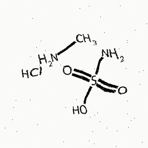 CN.Cl.NS(=O)(=O)O